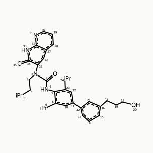 CC(C)CCN(C(=O)Nc1c(C(C)C)cc(-c2cccc(CCCO)c2)cc1C(C)C)c1cc2cccnc2[nH]c1=O